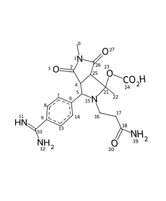 CN1C(=O)C2C(c3ccc(C(=N)N)cc3)N(CCC(N)=O)C(C)(OC(=O)O)C2C1=O